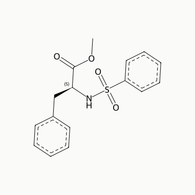 COC(=O)[C@H](Cc1ccccc1)NS(=O)(=O)c1ccccc1